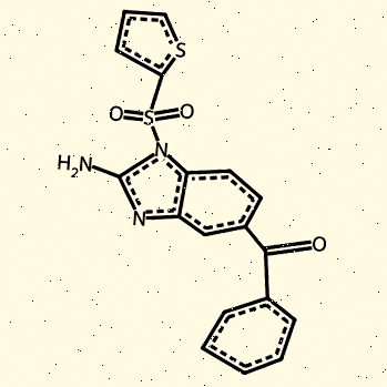 Nc1nc2cc(C(=O)c3ccccc3)ccc2n1S(=O)(=O)c1cccs1